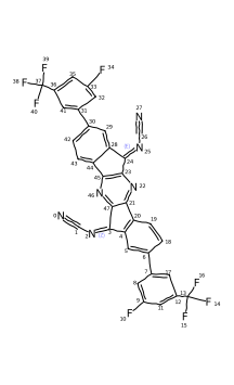 N#C/N=c1/c2cc(-c3cc(F)cc(C(F)(F)F)c3)ccc2c2nc3/c(=N/C#N)c4cc(-c5cc(F)cc(C(F)(F)F)c5)ccc4c3nc12